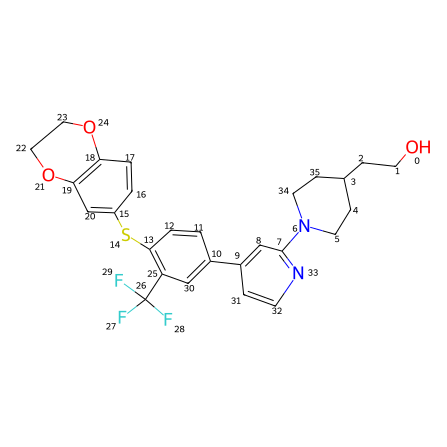 OCCC1CCN(c2cc(-c3ccc(Sc4ccc5c(c4)OCCO5)c(C(F)(F)F)c3)ccn2)CC1